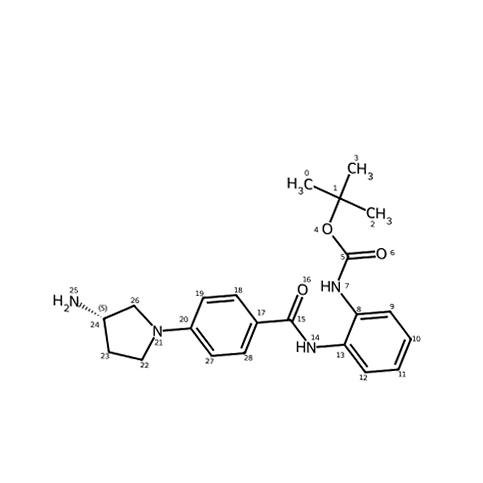 CC(C)(C)OC(=O)Nc1ccccc1NC(=O)c1ccc(N2CC[C@H](N)C2)cc1